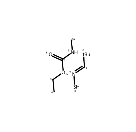 CC(C)(C)C=NS.CCOC(=O)NC